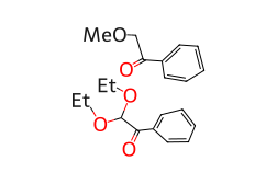 CCOC(OCC)C(=O)c1ccccc1.COCC(=O)c1ccccc1